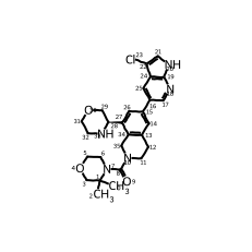 CC1(C)COCCN1C(=O)N1CCc2cc(-c3cnc4[nH]cc(Cl)c4c3)cc([C@@H]3COCCN3)c2C1